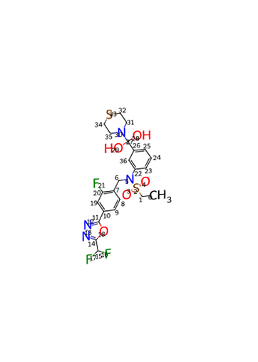 CCS(=O)(=O)N(Cc1ccc(-c2nnc(C(F)F)o2)cc1F)c1cccc(C(O)(O)N2CCSCC2)c1